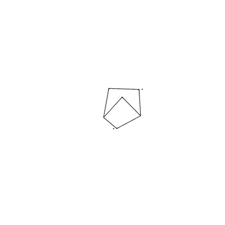 [CH]1CC2[CH]C1C2